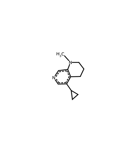 CN1CCCc2c(C3CC3)cncc21